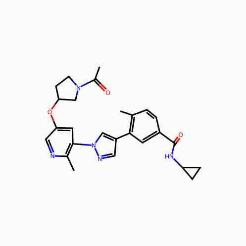 CC(=O)N1CCC(Oc2cnc(C)c(-n3cc(-c4cc(C(=O)NC5CC5)ccc4C)cn3)c2)C1